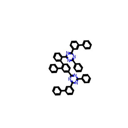 c1ccc(-c2cccc(-c3nc(-c4ccccc4)nc(-c4ccc(-c5ccccc5-c5nc(-c6ccccc6)nc(-c6cccc(-c7ccccc7)c6)n5)c(-c5ccccc5)c4)n3)c2)cc1